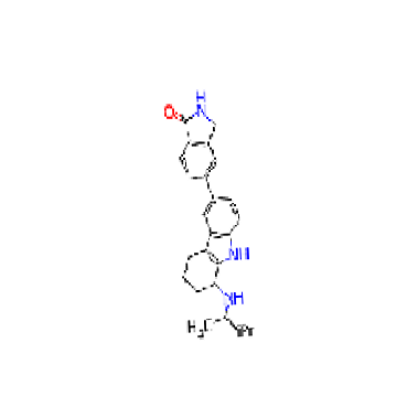 CC(C)[C@@H](C)NC1CCCc2c1[nH]c1ccc(-c3ccc4c(c3)CNC4=O)cc21